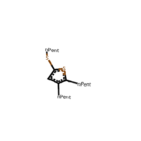 CCCCCSc1cc(CCCCC)c(CCCCC)s1